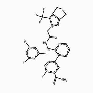 NC(=O)c1cc(-c2cccnc2[C@H](Cc2cc(F)cc(F)c2)NC(=O)Cn2nc3c(c2C(F)(F)F)CSC3)ccc1F